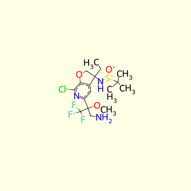 CCC1(N[S+]([O-])C(C)(C)C)COc2c1cc(C(CN)(OC)C(F)(F)F)nc2Cl